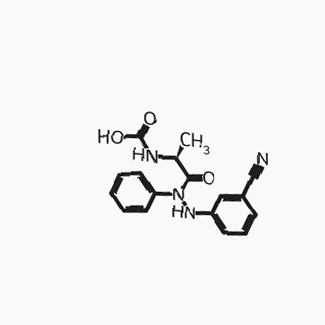 C[C@H](NC(=O)O)C(=O)N(Nc1cccc(C#N)c1)c1ccccc1